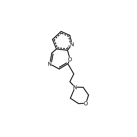 C1=NC=C(CCN2CCOCC2)Oc2ncccc21